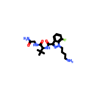 CC(C)(C)C(NC(=O)c1nn(CCCCN)c2c(F)cccc12)C(=O)NCC(N)=O